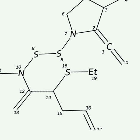 C=C=C1C(C)CCN1SSN(C)C(=C)C(CC=C)SCC